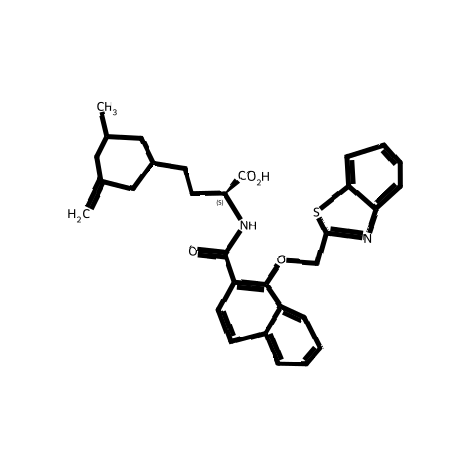 C=C1CC(C)CC(CC[C@H](NC(=O)c2ccc3ccccc3c2OCc2nc3ccccc3s2)C(=O)O)C1